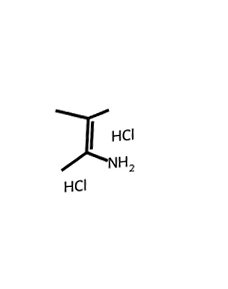 CC(C)=C(C)N.Cl.Cl